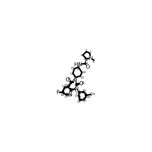 CN1CCC[C@@H]1C(=O)N[C@H]1CC[C@@H](n2c(=O)c3cc(F)cnc3n(-c3cccc(I)c3)c2=O)CC1